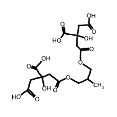 CC(COC(=O)CC(O)(CC(=O)O)C(=O)O)COC(=O)CC(O)(CC(=O)O)C(=O)O